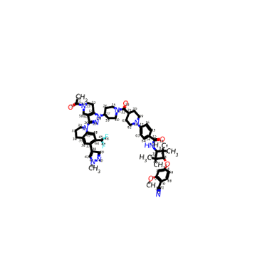 COc1cc(OC2C(C)(C)C(NC(=O)c3ccc(N4CCC(C(=O)N5CCC(n6nc(N7CCCc8cc(-c9cnn(C)c9)c(C(F)F)cc87)c7c6CCN(C(C)=O)C7)CC5)CC4)cc3)C2(C)C)ccc1C#N